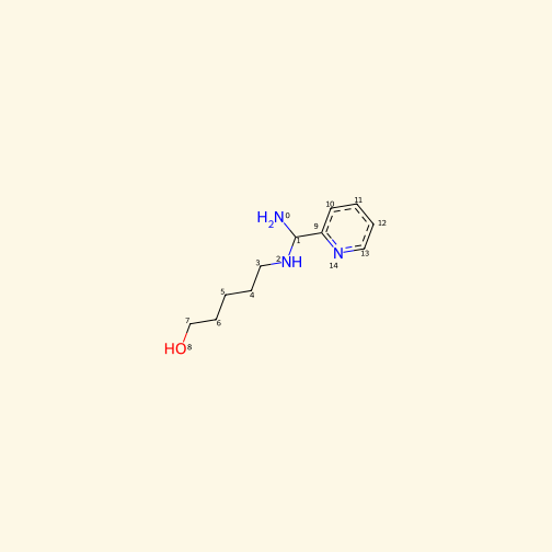 NC(NCCCCCO)c1ccccn1